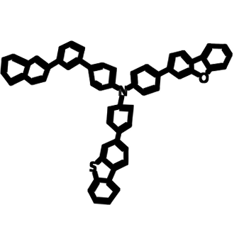 c1cc(-c2ccc(N(c3ccc(-c4ccc5c(c4)oc4ccccc45)cc3)c3ccc(-c4ccc5c(c4)sc4ccccc45)cc3)cc2)cc(-c2ccc3ccccc3c2)c1